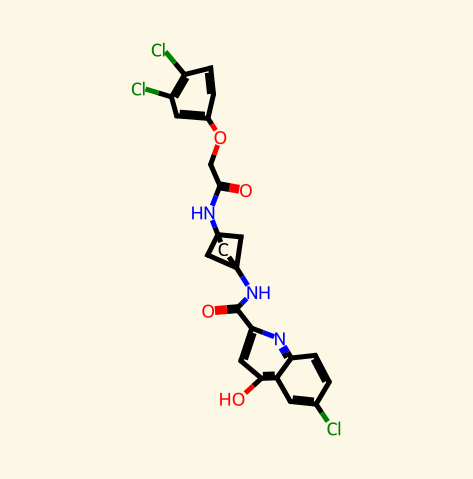 O=C(COc1ccc(Cl)c(Cl)c1)NC12CC(NC(=O)c3cc(O)c4cc(Cl)ccc4n3)(C1)C2